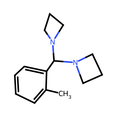 Cc1ccccc1C(N1CCC1)N1CCC1